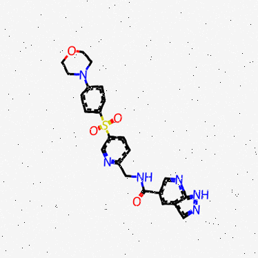 O=C(NCc1ccc(S(=O)(=O)c2ccc(N3CCOCC3)cc2)cn1)c1cnc2[nH]ncc2c1